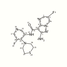 Nc1nn2cc(F)cnc2c1C(=O)Nc1cncc(F)c1N1CCSCC1